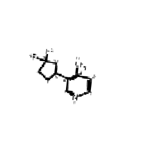 FC1(F)CCC(c2cnccc2C(F)(F)F)C1